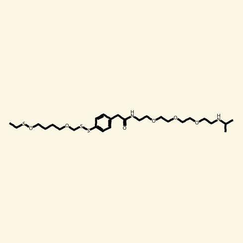 CCSOCCCCOCSSc1ccc(CC(=O)NCCOCCOCCOCCNC(C)C)cc1